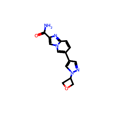 NC(=O)c1cn2cc(-c3cnn(C4COC4)c3)ccc2n1